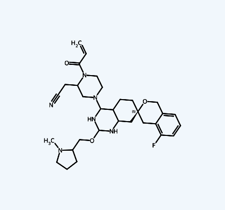 C=CC(=O)N1CCN(C2NC(OCC3CCCN3C)NC3C[C@]4(CCC32)Cc2c(F)cccc2CO4)CC1CC#N